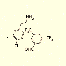 NCCc1ccc(Cl)cc1.O=Cc1cc(C(F)(F)F)cc(C(F)(F)F)c1